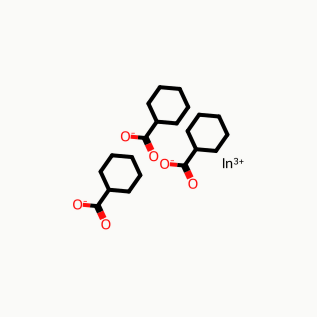 O=C([O-])C1CCCCC1.O=C([O-])C1CCCCC1.O=C([O-])C1CCCCC1.[In+3]